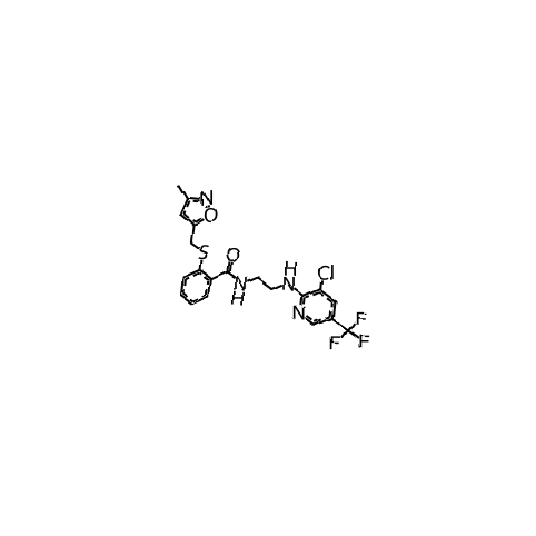 Cc1cc(CSc2ccccc2C(=O)NCCNc2ncc(C(F)(F)F)cc2Cl)on1